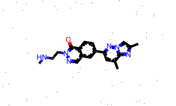 CNCCn1ncc2cc(-c3cc(C)c4nc(C)cn4n3)ccc2c1=O